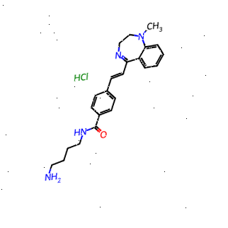 CN1CCN=C(C=Cc2ccc(C(=O)NCCCCN)cc2)c2ccccc21.Cl